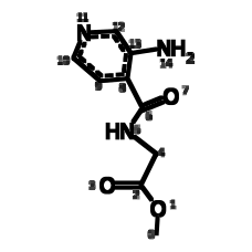 COC(=O)CNC(=O)c1ccncc1N